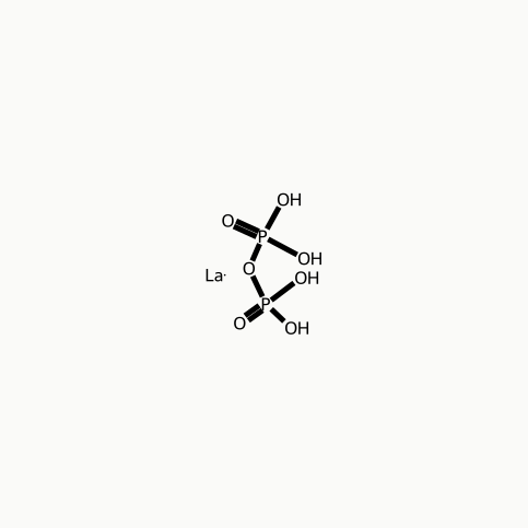 O=P(O)(O)OP(=O)(O)O.[La]